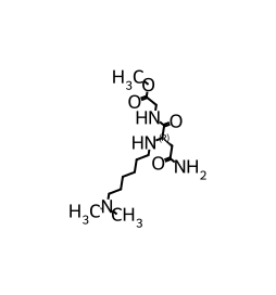 COC(=O)CNC(=O)[C@@H](CC(N)=O)NCCCCCCN(C)C